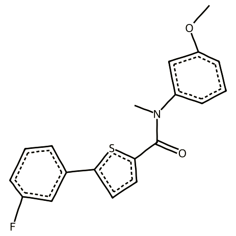 COc1cccc(N(C)C(=O)c2ccc(-c3cccc(F)c3)s2)c1